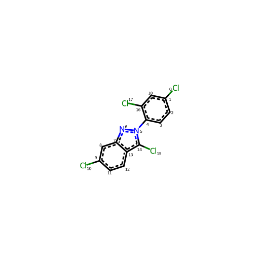 Clc1ccc(-n2nc3cc(Cl)ccc3c2Cl)c(Cl)c1